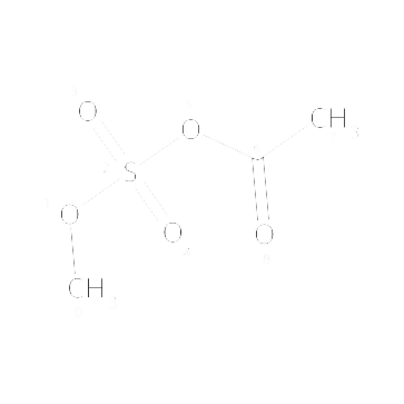 COS(=O)(=O)OC(C)=O